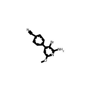 COc1cc(-c2ccc(C#N)cc2)c(Br)c(N)n1